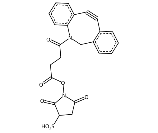 O=C(CCC(=O)N1Cc2ccccc2C#Cc2ccccc21)ON1C(=O)CC(S(=O)(=O)O)C1=O